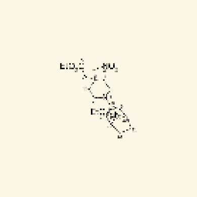 CCOC(=O)CC1(C[N+](=O)[O-])CCN(C2CC3CCC(C2)N3C(=O)OCC)CC1